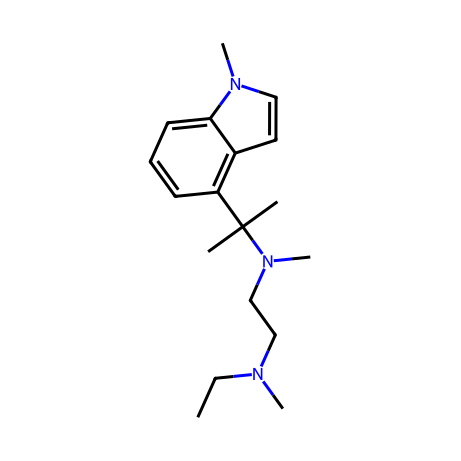 CCN(C)CCN(C)C(C)(C)c1cccc2c1ccn2C